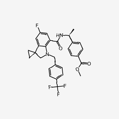 COC(=O)c1ccc([C@H](C)NC(=O)c2cc(F)cc3c2N(Cc2ccc(C(F)(F)F)cc2)CC32CC2)cc1